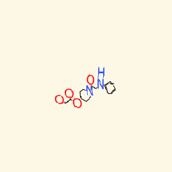 O=CC(=O)OC1CCN(C(=O)CNc2ccccc2)CC1